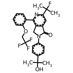 CC(C)(O)c1ccc(N2Cc3c(cc(C(C)(C)F)nc3-c3ccccc3OCC(F)(F)F)C2=O)cc1